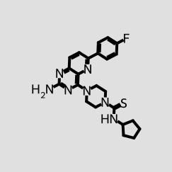 Nc1nc(N2CCN(C(=S)NC3CCCC3)CC2)c2nc(-c3ccc(F)cc3)ccc2n1